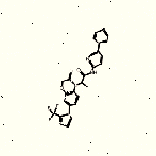 CC(C(=O)Nc1ccc(-c2ccccc2)cn1)N1C(=O)COc2cc(-n3ccnc3C(F)(F)F)ccc21